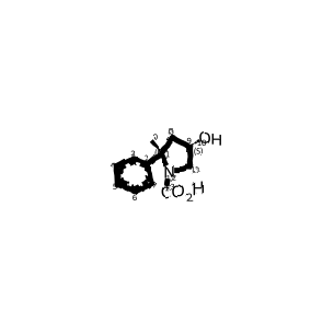 C[C@@]1(c2ccccc2)C[C@H](O)CN1C(=O)O